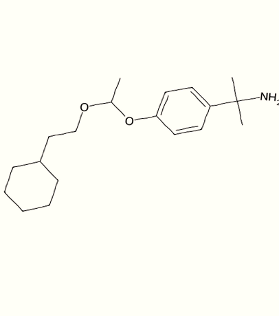 CC(OCCC1CCCCC1)Oc1ccc(C(C)(C)N)cc1